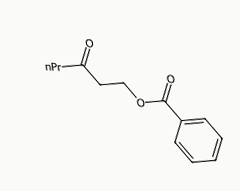 CCCC(=O)CCOC(=O)c1ccccc1